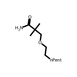 CCCCCCCOCC(C)(C)C(N)=O